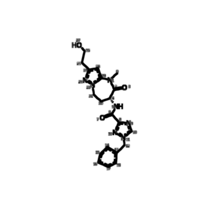 CN1C(=O)[C@H](NC(=O)c2ncn(Cc3ccccc3)n2)CCn2nc(CCO)cc21